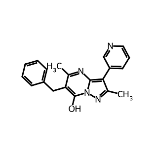 Cc1nc2c(-c3cccnc3)c(C)nn2c(O)c1Cc1ccccc1